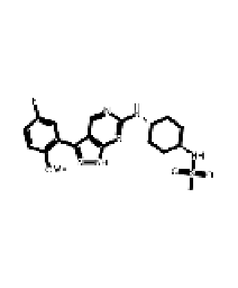 COc1ccc(F)cc1-c1n[nH]c2nc(N[C@H]3CC[C@H](NS(C)(=O)=O)CC3)ncc12